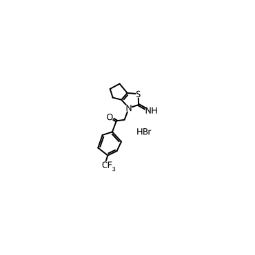 Br.N=c1sc2c(n1CC(=O)c1ccc(C(F)(F)F)cc1)CCC2